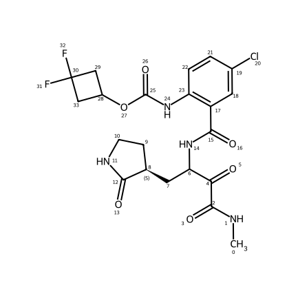 CNC(=O)C(=O)C(C[C@@H]1CCNC1=O)NC(=O)c1cc(Cl)ccc1NC(=O)OC1CC(F)(F)C1